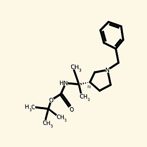 CC(C)(C)OC(=O)NC(C)(C)[C@H]1CCN(Cc2ccccc2)C1